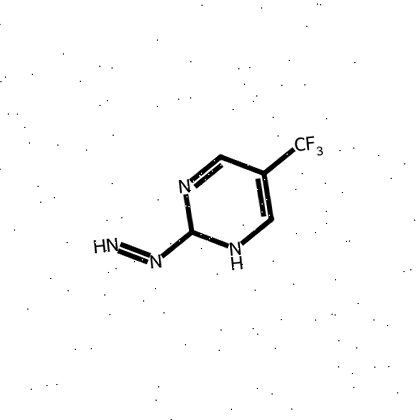 N=NC1N=CC(C(F)(F)F)=CN1